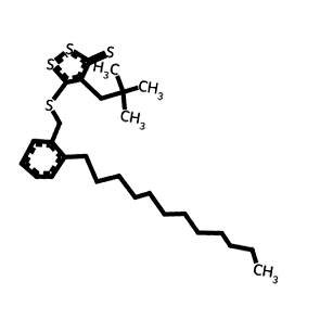 CCCCCCCCCCCCc1ccccc1CSc1ssc(=S)c1CC(C)(C)C